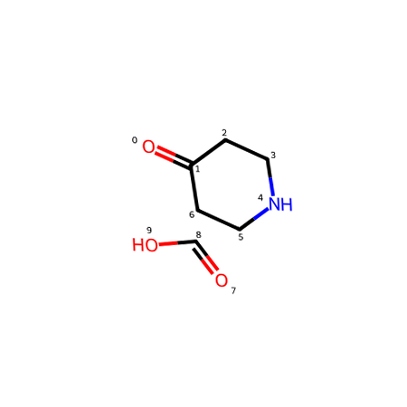 O=C1CCNCC1.O=CO